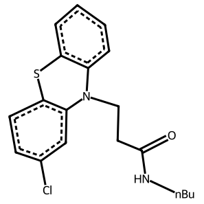 CCCCNC(=O)CCN1c2ccccc2Sc2ccc(Cl)cc21